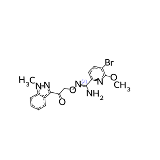 COc1nc(/C(N)=N/OCC(=O)c2nn(C)c3ccccc23)ccc1Br